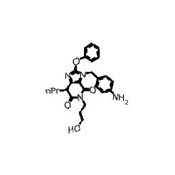 CCCC1C(=O)N(CCCO)C(=O)c2c1nc(Oc1ccccc1)n2Cc1ccc(N)cc1